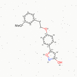 COc1cccc(CCOc2ccc(-c3cc(O)no3)cc2)c1